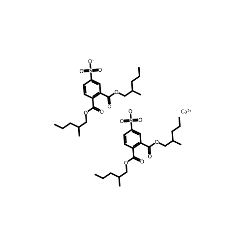 CCCC(C)COC(=O)c1ccc(S(=O)(=O)[O-])cc1C(=O)OCC(C)CCC.CCCC(C)COC(=O)c1ccc(S(=O)(=O)[O-])cc1C(=O)OCC(C)CCC.[Ca+2]